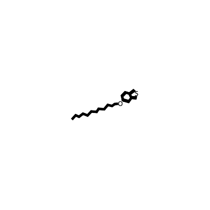 CCCCCCCCCCCCOc1ccc2cscc2c1